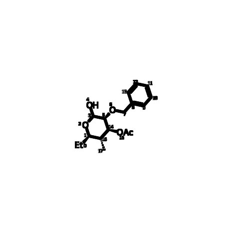 CC[C@H]1OC(O)[C@@H](OCc2ccccc2)[C@@H](OC(C)=O)[C@@H]1C